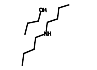 CCCCNCCCC.CCCO